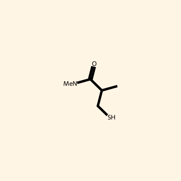 CNC(=O)C(C)CS